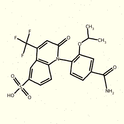 CC(C)Oc1cc(C(N)=O)ccc1-n1c(=O)cc(C(F)(F)F)c2cc(S(=O)(=O)O)ccc21